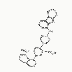 CCOC(=O)c1cc(-c2cccc3ccccc23)c(C(=O)OCC)cc1-c1ccc(Nc2cccc3c2oc2ccccc23)cc1